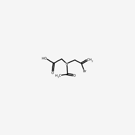 C=C(Br)CN(CC(=O)O)C(C)=O